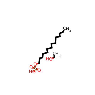 CCCCCCCCCCCCCCOS(=O)(=O)O.CCO